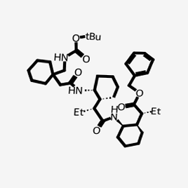 CC[C@@H](C(=O)N[C@@H]1CCCC[C@@H]1[C@@H](CC)C(=O)OCc1ccccc1)[C@H]1CCCC[C@H]1NC(=O)CC1(CNC(=O)OC(C)(C)C)CCCCC1